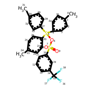 Cc1ccc(S(OS(=O)(=O)c2cccc(C(F)(F)F)c2)(c2ccc(C)cc2)c2ccc(C)cc2)cc1